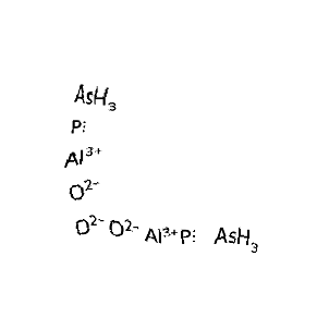 [Al+3].[Al+3].[AsH3].[AsH3].[O-2].[O-2].[O-2].[P].[P]